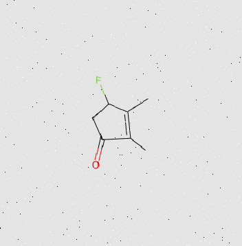 CC1=C(C)C(F)CC1=O